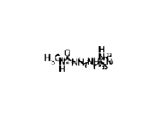 CNC(=O)NCCNCc1cnc[nH]1